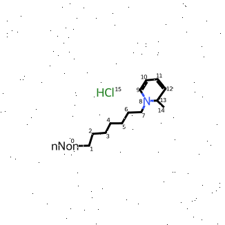 CCCCCCCCCCCCCCCCN1C=CC=CC1C.Cl